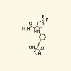 CN1CC[C@](C#Cc2cccc(-n3nc(C(N)=O)c4c3C[C@@]3(C)C(C4)C3(F)F)c2)(N=O)C1=O